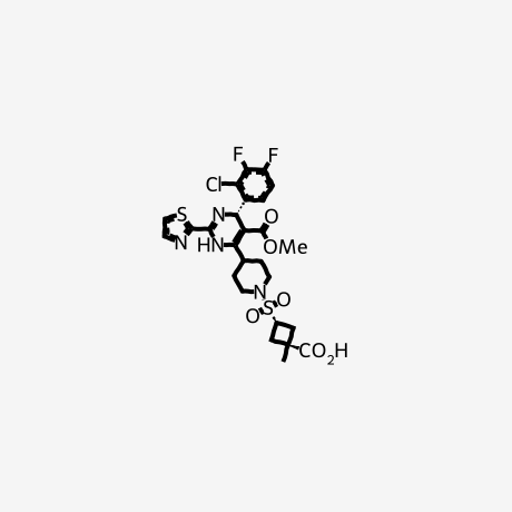 COC(=O)C1=C(C2CCN(S(=O)(=O)[C@H]3C[C@](C)(C(=O)O)C3)CC2)NC(c2nccs2)=N[C@@H]1c1ccc(F)c(F)c1Cl